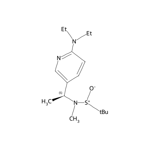 CCN(CC)c1ccc([C@H](C)N(C)[S+]([O-])C(C)(C)C)cn1